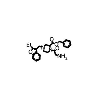 CCc1oc2ccccc2c1CN1CCN(C(=O)CN)C(C(=O)OCc2ccccc2)C1